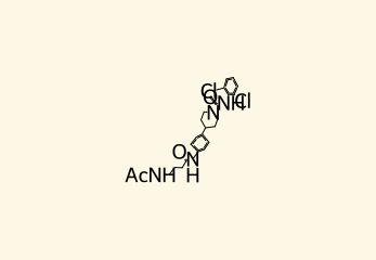 CC(=O)NCCC(=O)Nc1ccc(C2CCN(C(=O)Nc3c(Cl)cccc3Cl)CC2)cc1